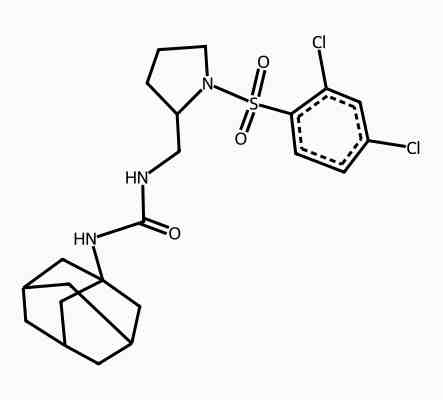 O=C(NCC1CCCN1S(=O)(=O)c1ccc(Cl)cc1Cl)NC12CC3CC(CC(C3)C1)C2